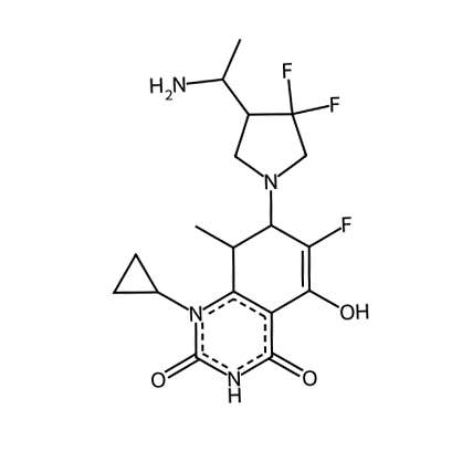 CC(N)C1CN(C2C(F)=C(O)c3c(n(C4CC4)c(=O)[nH]c3=O)C2C)CC1(F)F